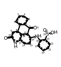 O=C1c2ccccc2-c2cc(=O)[nH]c3ccc(Nc4ccccc4S(=O)O)c1c23